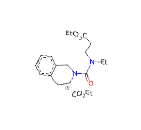 CCOC(=O)CCN(CC)C(=O)N1Cc2ccccc2C[C@H]1C(=O)OCC